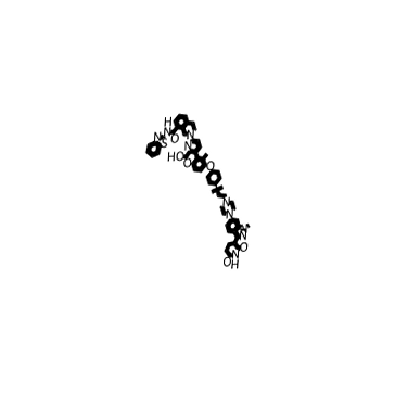 Cc1c(O[C@H]2CC[C@H](C(C)(C)CCN3CCN(c4ccc5c(C6CCC(=O)NC6=O)nn(C)c5c4)CC3)CC2)cccc1-c1ccc(N2CCc3cccc(C(=O)Nc4nc5ccccc5s4)c3C2)nc1C(=O)O